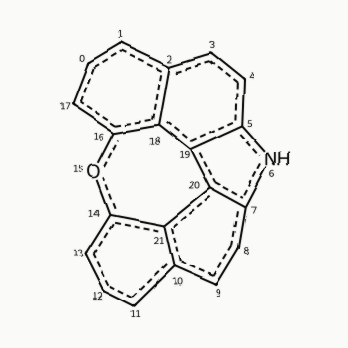 c1cc2ccc3[nH]c4ccc5cccc6oc(c1)c2c3c4c56